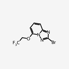 FC(F)(F)COc1cccc2nc(Br)nn12